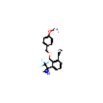 C#Cc1cccc(C2(C(F)(F)F)C=N2)c1COCc1ccc(OC)cc1